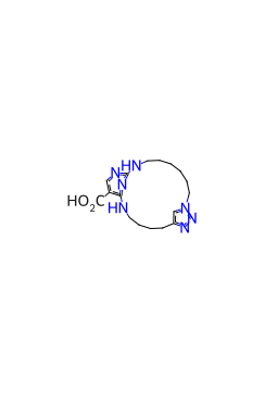 O=C(O)c1cnc2nc1NCCCCc1cn(nn1)CCCCCCN2